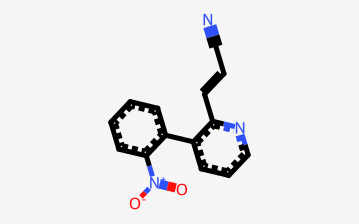 N#CC=Cc1ncccc1-c1ccccc1[N+](=O)[O-]